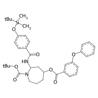 CC(C)(C)OC(=O)N1CCCC(OC(=O)c2cccc(Oc3ccccc3)c2)CC1NC(=O)c1ccc(O[Si](C)(C)C(C)(C)C)cc1